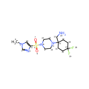 Cn1cnc(S(=O)(=O)N2CCN(C3(CN)CCC(F)(F)CC3)CC2)c1